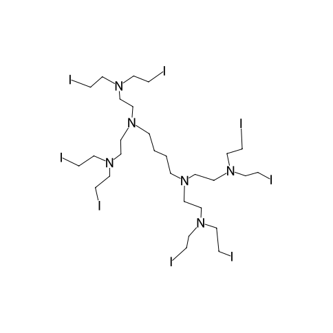 ICCN(CCI)CCN(CCCCN(CCN(CCI)CCI)CCN(CCI)CCI)CCN(CCI)CCI